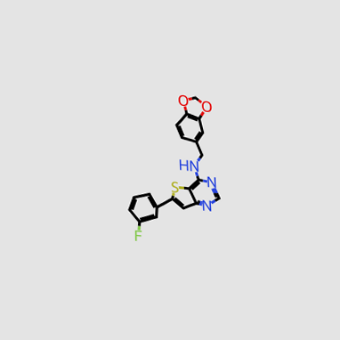 Fc1cccc(-c2cc3ncnc(NCc4ccc5c(c4)OCO5)c3s2)c1